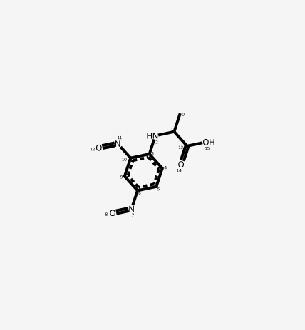 CC(Nc1ccc(N=O)cc1N=O)C(=O)O